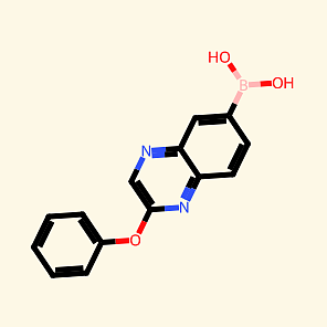 OB(O)c1ccc2nc(Oc3ccccc3)cnc2c1